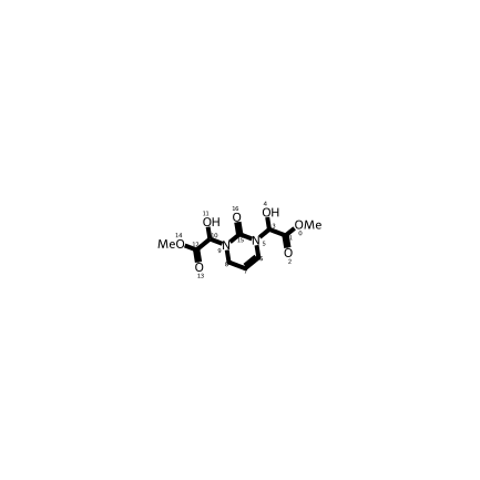 COC(=O)C(O)N1C=CCN(C(O)C(=O)OC)C1=O